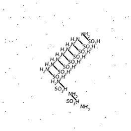 N.NS(=O)(=O)O.NS(=O)(=O)O.NS(=O)(=O)O.NS(=O)(=O)O.NS(=O)(=O)O.NS(=O)(=O)O.NS(=O)(=O)O.NS(=O)(=O)O.NS(=O)(=O)O.NS(=O)(=O)O